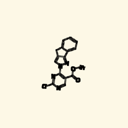 CC(C)OC(=O)c1cnc(Cl)nc1-n1cc2c(n1)-c1ccccc1C2